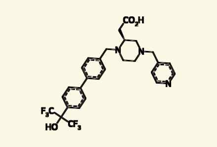 O=C(O)C[C@H]1CN(Cc2ccncc2)CCN1Cc1ccc(-c2ccc(C(O)(C(F)(F)F)C(F)(F)F)cc2)cc1